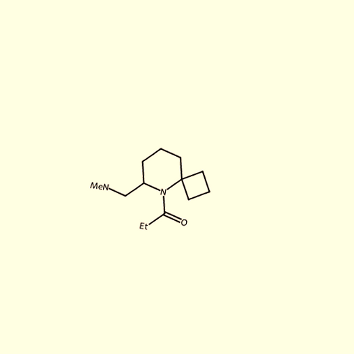 CCC(=O)N1C(CNC)CCCC12CCC2